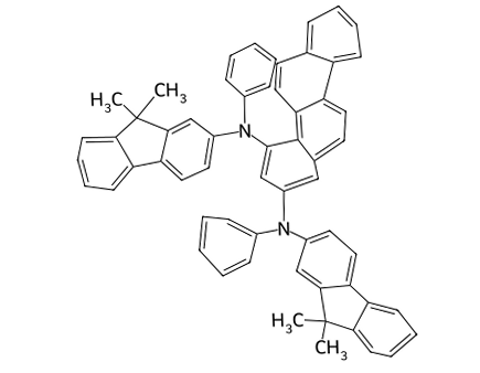 CC1(C)c2ccccc2-c2ccc(N(c3ccccc3)c3cc(N(c4ccccc4)c4ccc5c(c4)C(C)(C)c4ccccc4-5)c4c(ccc5c6ccccc6ccc54)c3)cc21